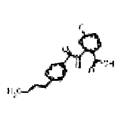 CCCCc1ccc(C(=O)Nc2cc(Cl)ccc2C(=O)O)cc1